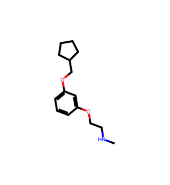 CNCCOc1cccc(OCC2CCCC2)c1